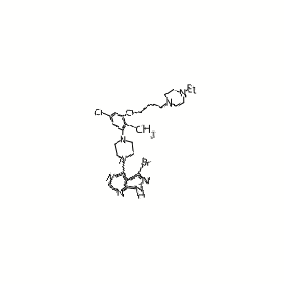 CCN1CCN(CCCOc2cc(Cl)cc(N3CCN(c4ncnc5[nH]nc(Br)c45)CC3)c2C)CC1